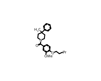 COc1cc(C(=O)N2CCC(C)(c3ccccc3)CC2)ccc1OCCC(C)C